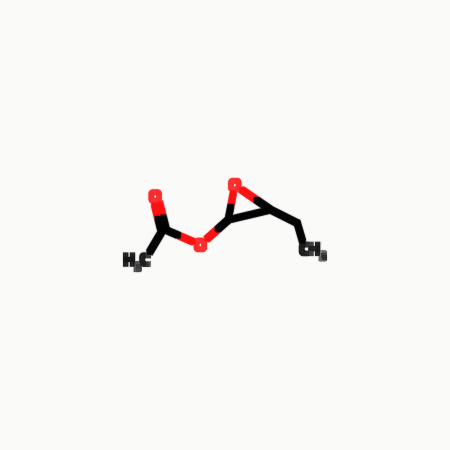 CCC1OC1OC(C)=O